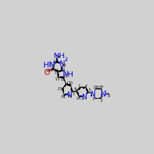 CN1CCN(c2ccc(-c3cc(-c4cc5c(=O)[nH]c(N)nc5[nH]4)ccn3)cn2)CC1